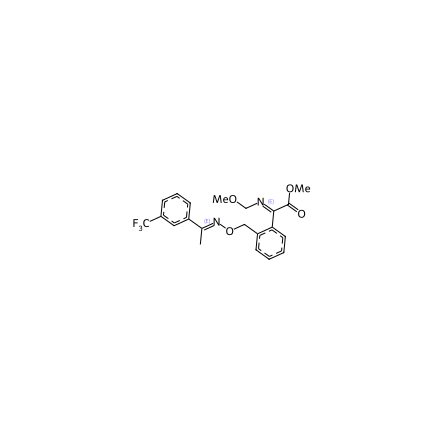 COC/N=C(/C(=O)OC)c1ccccc1CO/N=C(\C)c1cccc(C(F)(F)F)c1